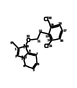 CC1=CN2CC=CC=C2N1OCCc1c(Cl)cccc1Cl